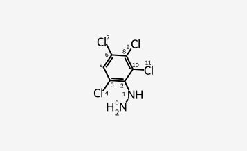 NNc1c(Cl)cc(Cl)c(Cl)c1Cl